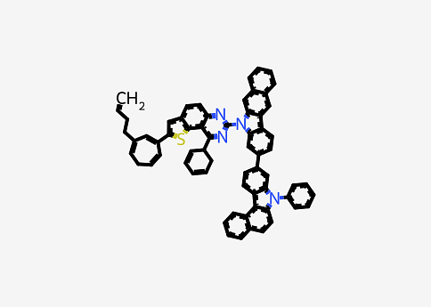 C=CCCC1=CCC=CC(c2cc3ccc4nc(-n5c6cc(-c7ccc8c9c%10ccccc%10ccc9n(-c9ccccc9)c8c7)ccc6c6cc7ccccc7cc65)nc(C5C=CC=CC5)c4c3s2)=C1